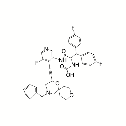 O=C(O)NC(C(=O)Nc1cncc(F)c1C#CC1CN(Cc2ccccc2)CC2(CCOCC2)O1)C(c1ccc(F)cc1)c1ccc(F)cc1